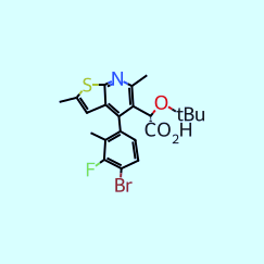 Cc1cc2c(-c3ccc(Br)c(F)c3C)c([C@H](OC(C)(C)C)C(=O)O)c(C)nc2s1